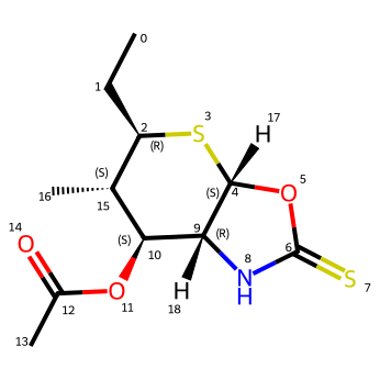 CC[C@H]1S[C@@H]2OC(=S)N[C@@H]2[C@@H](OC(C)=O)[C@@H]1C